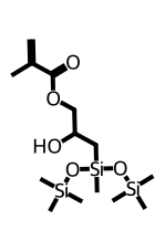 C=C(C)C(=O)OCC(O)C[Si](C)(O[Si](C)(C)C)O[Si](C)(C)C